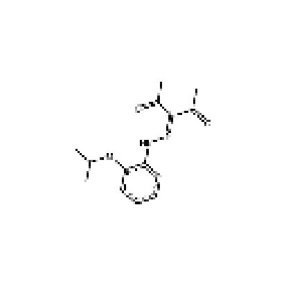 CC(=O)C(=NNc1ccccc1OC(C)C)C(C)=O